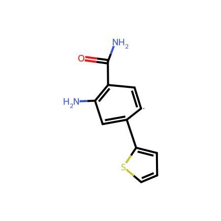 NC(=O)c1c[c]c(-c2cccs2)cc1N